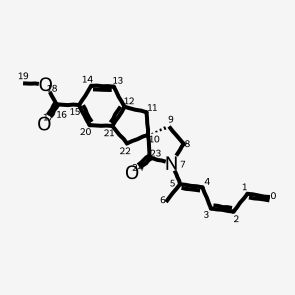 C=C/C=C\C=C(/C)N1CC[C@]2(Cc3ccc(C(=O)OC)cc3C2)C1=O